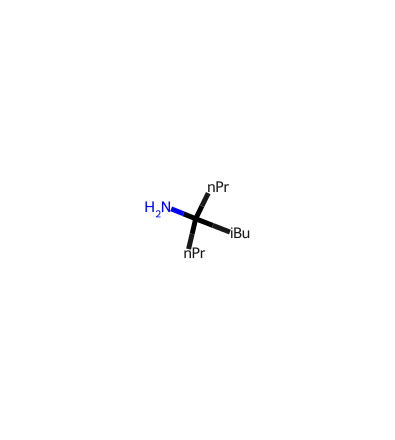 CCCC(N)(CCC)C(C)CC